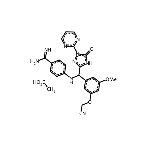 CC(=O)O.COc1cc(OCC#N)cc(C(Nc2ccc(C(=N)N)cc2)c2nn(-c3ncccn3)c(=O)[nH]2)c1